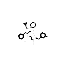 C[C@H](NC(=O)Cc1cc(F)cc(F)c1)C(=O)N[C@@H](C(=O)N(CC1CC1)[C@H]1CCCC[C@@H]1C)[C@H](O)c1ccccc1